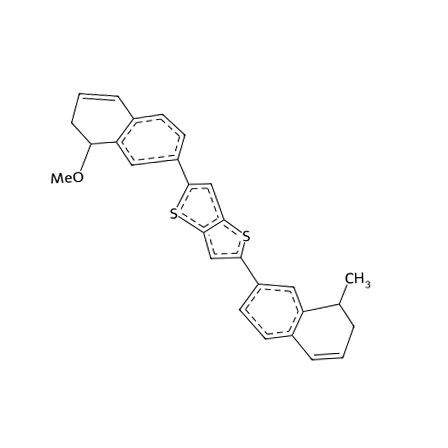 COC1CC=Cc2ccc(-c3cc4sc(-c5ccc6c(c5)C(C)CC=C6)cc4s3)cc21